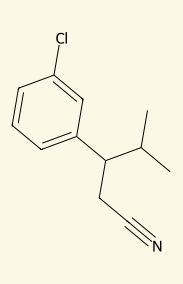 CC(C)C(CC#N)c1cccc(Cl)c1